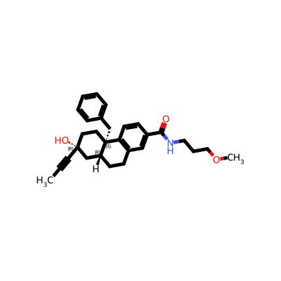 CC#C[C@@]1(O)CC[C@@]2(Cc3ccccc3)c3ccc(C(=O)NCCCOC)cc3CC[C@@H]2C1